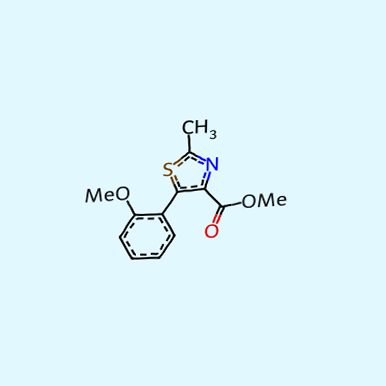 COC(=O)c1nc(C)sc1-c1ccccc1OC